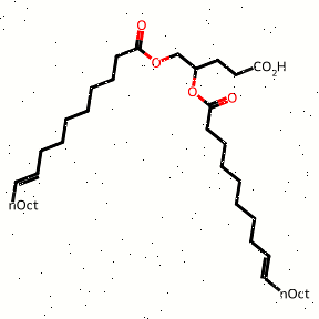 CCCCCCCCC=CCCCCCCCC(=O)OCC(CCC(=O)O)OC(=O)CCCCCCCC=CCCCCCCCC